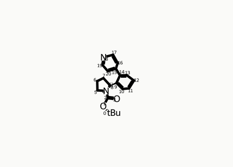 CC(C)(C)OC(=O)N1CCC[C@H]1c1ccccc1-c1ccncc1